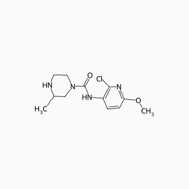 COc1ccc(NC(=O)N2CCNC(C)C2)c(Cl)n1